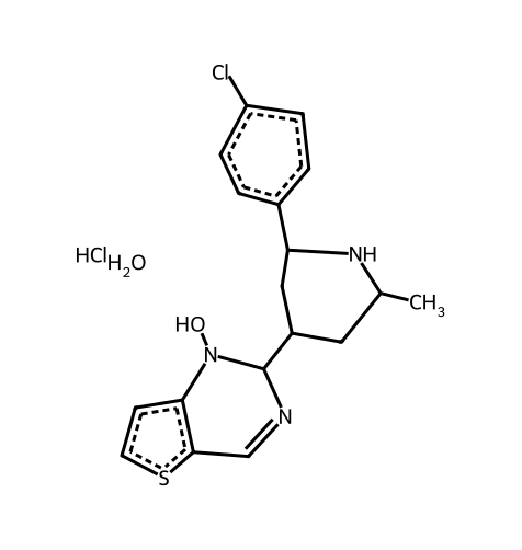 CC1CC(C2N=Cc3sccc3N2O)CC(c2ccc(Cl)cc2)N1.Cl.O